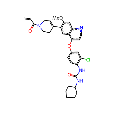 C=CC(=O)N1CC=C(c2cc3c(Oc4ccc(NC(=O)NC5CCCCC5)c(Cl)c4)ccnc3cc2OC)CC1